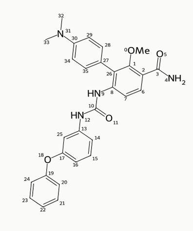 COc1c(C(N)=O)ccc(NC(=O)Nc2cccc(Oc3ccccc3)c2)c1-c1ccc(N(C)C)cc1